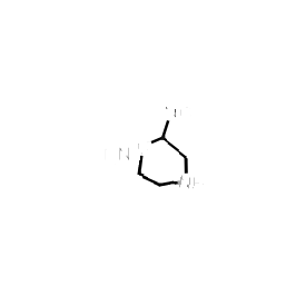 N.O=NC1CNCCO1